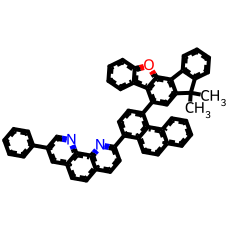 CC1(C)c2ccccc2-c2c1cc(-c1ccc(-c3ccc4ccc5cc(-c6ccccc6)cnc5c4n3)c3ccc4ccccc4c13)c1c2oc2ccccc21